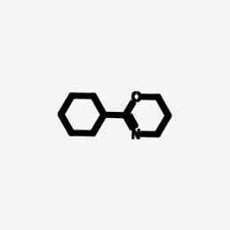 C1CCC(C2=NCCCO2)CC1